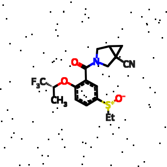 CC[S+]([O-])c1ccc(O[C@H](C)C(F)(F)F)c(C(=O)N2CC3CC3(C#N)C2)c1